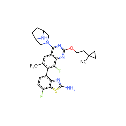 N#CC1(CCOc2nc(N3CC4CCC(C3)N4)c3cc(C(F)(F)F)c(-c4ccc(F)c5sc(N)nc45)c(F)c3n2)CC1